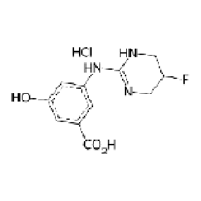 Cl.O=C(O)c1cc(O)cc(NC2=NCC(F)CN2)c1